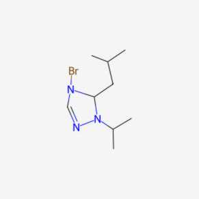 CC(C)CC1N(Br)C=NN1C(C)C